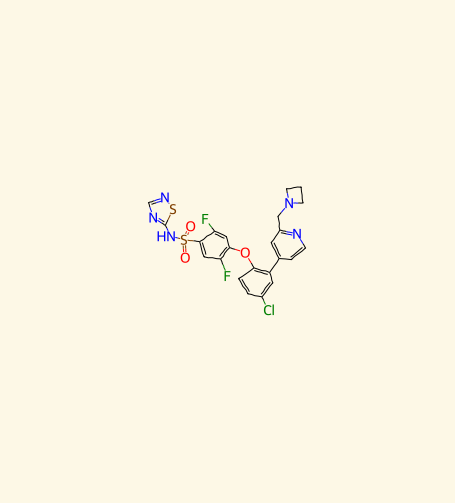 O=S(=O)(Nc1ncns1)c1cc(F)c(Oc2ccc(Cl)cc2-c2ccnc(CN3CCC3)c2)cc1F